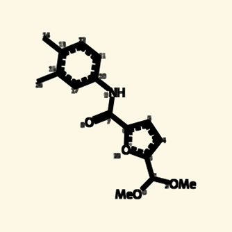 COC(OC)c1ccc(C(=O)Nc2ccc(C)c(C)c2)o1